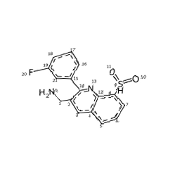 NCc1cc2cccc([SH](=O)=O)c2nc1-c1cccc(F)c1